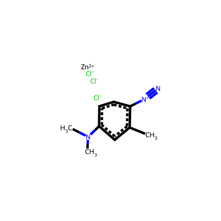 Cc1cc(N(C)C)ccc1[N+]#N.[Cl-].[Cl-].[Cl-].[Zn+2]